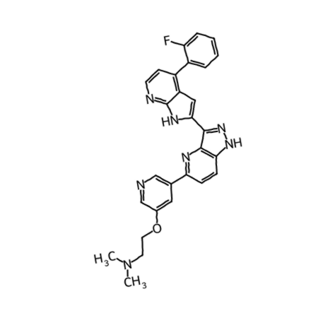 CN(C)CCOc1cncc(-c2ccc3[nH]nc(-c4cc5c(-c6ccccc6F)ccnc5[nH]4)c3n2)c1